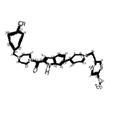 CCOc1cnc(CN2CCC(c3ccc4cc(C(=O)N5CCN(Cc6ccc(C#N)cc6)CC5)[nH]c4c3)CC2)cn1